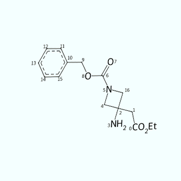 CCOC(=O)CC1(N)CN(C(=O)OCc2ccccc2)C1